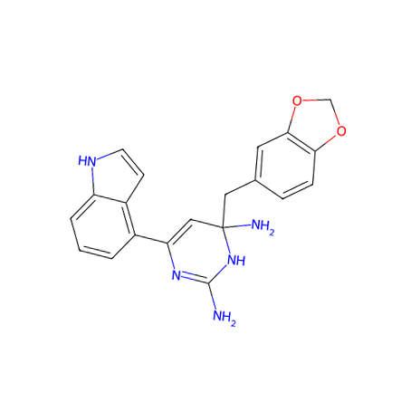 NC1=NC(c2cccc3[nH]ccc23)=CC(N)(Cc2ccc3c(c2)OCO3)N1